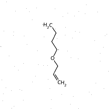 [CH2]CC[CH]OCC=C